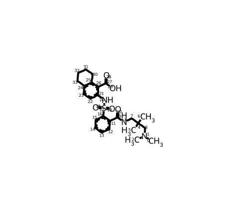 CN(C)CC(C)(C)CNC(=O)c1ccccc1S(=O)(=O)Nc1ccc2c(c1C(=O)O)CCCC2